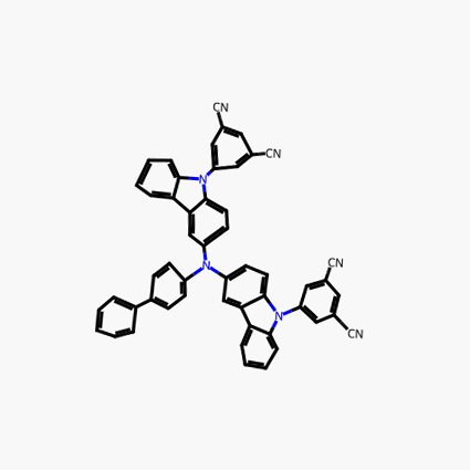 N#Cc1cc(C#N)cc(-n2c3ccccc3c3cc(N(c4ccc(-c5ccccc5)cc4)c4ccc5c(c4)c4ccccc4n5-c4cc(C#N)cc(C#N)c4)ccc32)c1